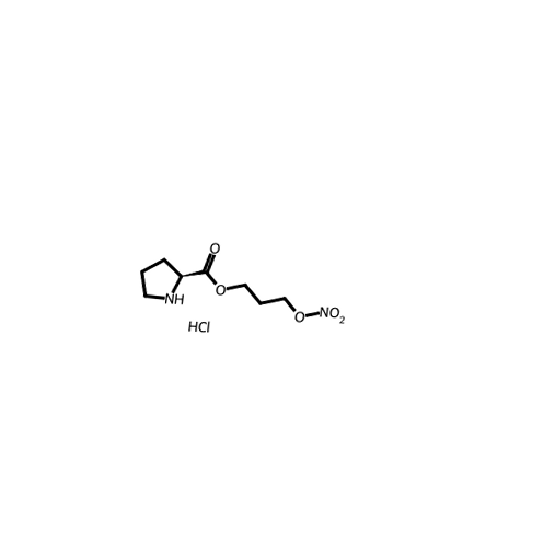 Cl.O=C(OCCCO[N+](=O)[O-])[C@@H]1CCCN1